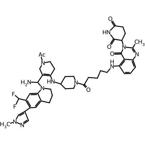 CC(=O)N1CCC(NC2CCN(C(=O)CCCCNc3cccc4nc(C)n(C5CCC(=O)NC5=O)c(=O)c34)CC2)=C(C(N)N2CCCc3cc(-c4cnn(C)c4)c(C(F)F)cc32)C1